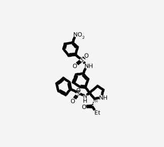 [CH2]CC(=O)[C@H]1NCCC1(NS(=O)(=O)c1ccccc1)c1cccc(NS(=O)(=O)c2cccc([N+](=O)[O-])c2)c1